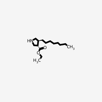 CCCCCCCC[C@@H]1CNC[C@H]1C(=O)OCC